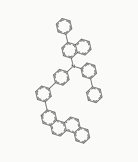 c1ccc(-c2cccc(N(c3ccc(-c4cccc(-c5ccc6ccc7c8ccccc8ccc7c6c5)c4)cc3)c3ccc(-c4ccccc4)c4ccccc34)c2)cc1